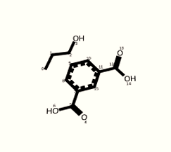 CCCO.O=C(O)c1cccc(C(=O)O)c1